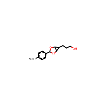 COc1ccc(C2OC3C(CCCO)C3O2)cc1